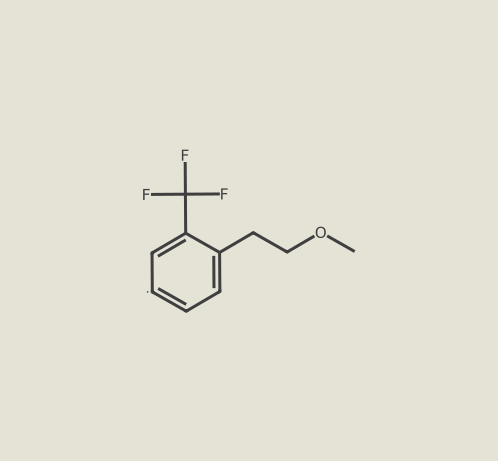 COCCc1cc[c]cc1C(F)(F)F